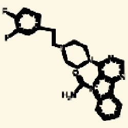 NC(=O)n1c2cc[c]cc2c2ncnc(N3CCN(CCc4ccc(F)c(F)c4)CC3)c21